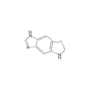 c1nc2cc3c(cc2[nH]1)CCN3